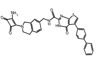 Nc1c(N2CCc3ccc(CNC(=O)c4nc5scc(-c6ccc(-c7ccccc7)cc6)c5c(=O)[nH]4)cc3C2)c(=O)c1=O